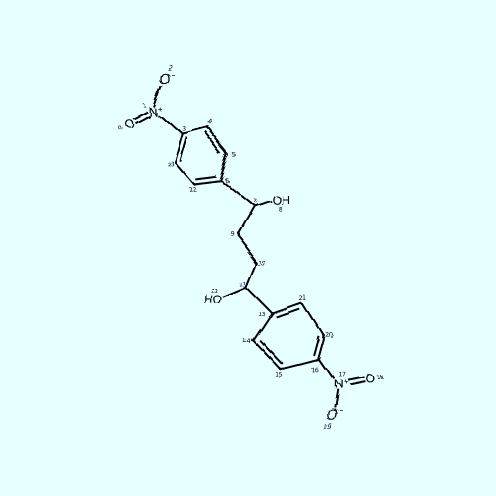 O=[N+]([O-])c1ccc(C(O)CCC(O)c2ccc([N+](=O)[O-])cc2)cc1